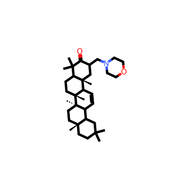 CC1(C)CC[C@]2(C)CC[C@]3(C)C(C=CC4[C@@]5(C)CC(CN6CCOCC6)C(=O)C(C)(C)C5CC[C@]43C)C2C1